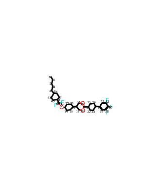 CCCCCC1CCC(C(F)(F)OC2CCC(C3COC(C4CCC(c5cc(F)c(F)c(F)c5)CC4)OC3)CC2)CC1